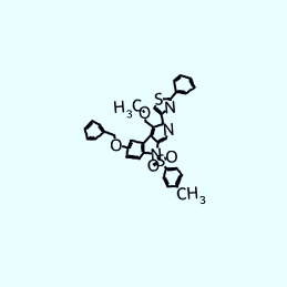 COCc1c(-c2csc(-c3ccccc3)n2)ncc2c1c1cc(OCc3ccccc3)ccc1n2S(=O)(=O)c1ccc(C)cc1